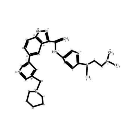 C=C(Nc1ccc(N(C)CCN(C)C)nc1)c1n[nH]c2ccc(-c3cncc(CN4CCCCC4)c3)cc12